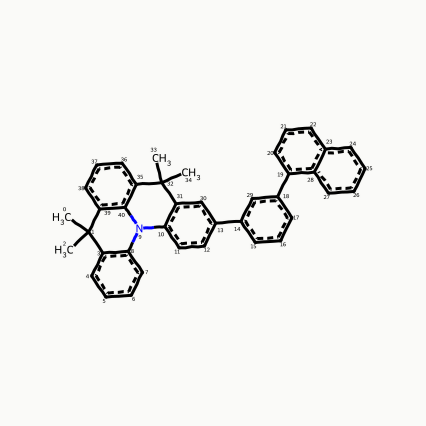 CC1(C)c2ccccc2N2c3ccc(-c4cccc(-c5cccc6ccccc56)c4)cc3C(C)(C)c3cccc1c32